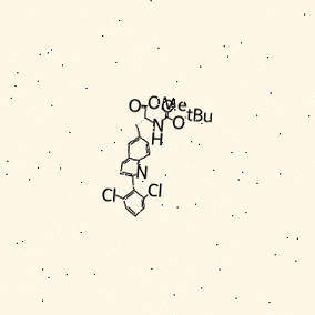 COC(=O)[C@@H](Cc1ccc2nc(-c3c(Cl)cccc3Cl)ccc2c1)NC(=O)OC(C)(C)C